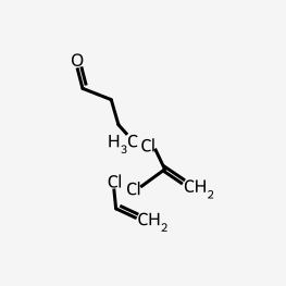 C=C(Cl)Cl.C=CCl.CCCC=O